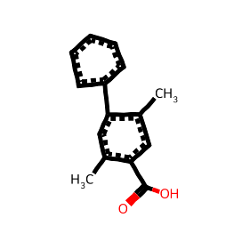 Cc1cc(-c2ccccc2)c(C)cc1C(=O)O